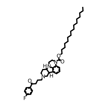 CCCCCCCCCCCCCCCCOC(=O)N1CCN2c3c(cccc31)[C@@H]1CN(CCCC(=O)c3ccc(F)cc3)CC[C@@H]12